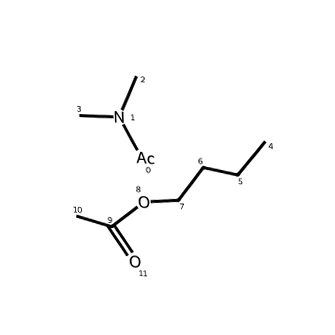 CC(=O)N(C)C.CCCCOC(C)=O